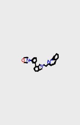 c1cc(-c2cccc3c2CN(CCc2ccc4ccccc4n2)C3)cc(N2CCOCC2)c1